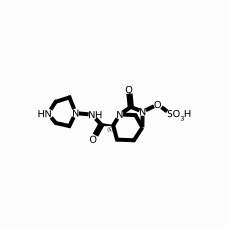 O=C(NN1CCNCC1)[C@@H]1CCC2CN1C(=O)N2OS(=O)(=O)O